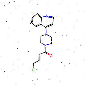 O=C(/C=C/CCl)N1CCN(c2ccnc3ccccc23)CC1